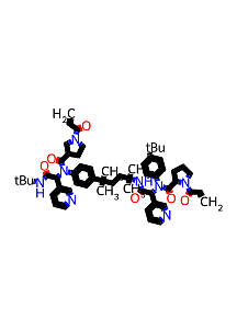 C=CC(=O)N1CCC(C(=O)N(c2ccc(C(C)(C)CCC(C)(C)NC(=O)C(c3cccnc3)N(C(=O)C3CCCN3C(=O)C=C)c3ccc(C(C)(C)C)cc3)cc2)C(C(=O)NC(C)(C)C)c2cccnc2)C1